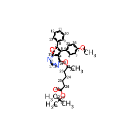 COc1ccc(-c2c(-c3ccccc3)oc3ncnc(O[C@@H](C)CCCCC(=O)OC(C)(C)C)c23)cc1